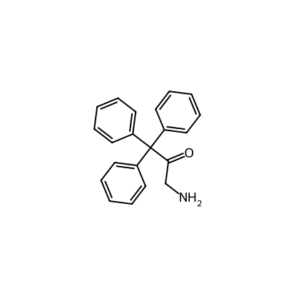 NCC(=O)C(c1ccccc1)(c1ccccc1)c1ccccc1